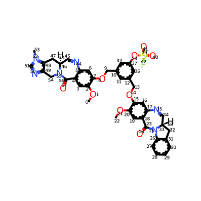 COc1cc2c(cc1OCc1cc(COc3cc4c(cc3OC)C(=O)N3c5ccccc5C[C@H]3C=N4)cc(OS(=O)(=O)F)c1)N=C[C@@H]1Cc3c(ncn3C)CN1C2=O